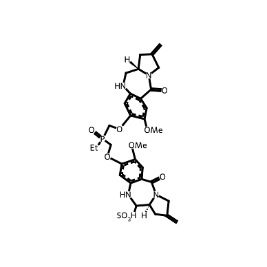 C=C1C[C@H]2CNc3cc(OCP(=O)(CC)COc4cc5c(cc4OC)C(=O)N4CC(=C)C[C@H]4C(S(=O)(=O)O)N5)c(OC)cc3C(=O)N2C1